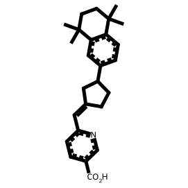 CC1(C)CCC(C)(C)c2cc(C3CC/C(=C\c4ccc(C(=O)O)cn4)C3)ccc21